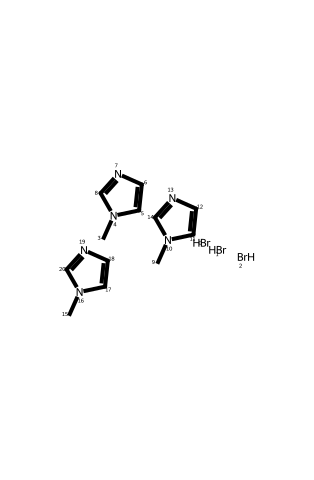 Br.Br.Br.Cn1ccnc1.Cn1ccnc1.Cn1ccnc1